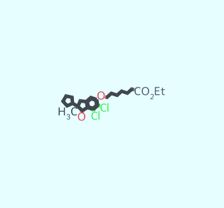 CCOC(=O)CCCCCCOc1cc2c(c(Cl)c1Cl)C(=O)C(C)(C1CCCC1)C2